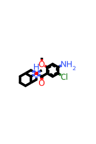 COc1cc(N)c(Cl)cc1C(=O)NC1C2CCCC1CN(C)C2